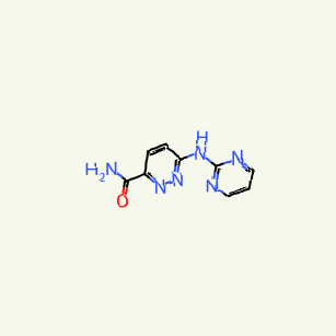 NC(=O)c1ccc(Nc2ncccn2)nn1